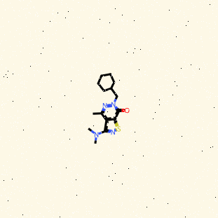 Cc1nn(CC2CCCCC2)c(=O)c2snc(N(C)C)c12